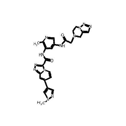 Cc1ncc(NC(=O)CN2CCn3nncc3C2)cc1NC(=O)c1nnc2cc(-c3cnn(C)c3)ccn12